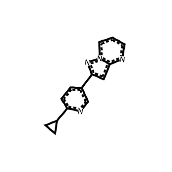 c1cnc2cc(-c3ccc(C4CC4)nc3)nn2c1